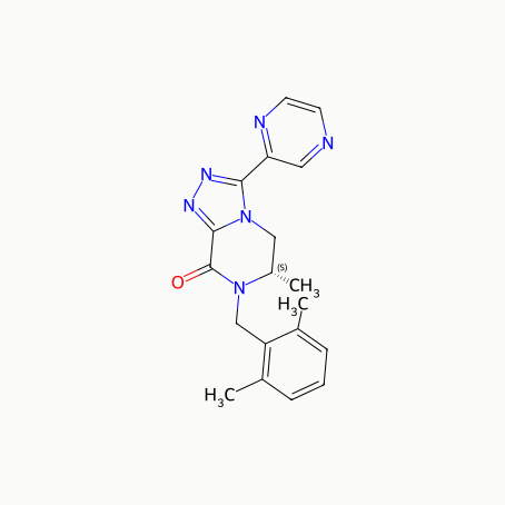 Cc1cccc(C)c1CN1C(=O)c2nnc(-c3cnccn3)n2C[C@@H]1C